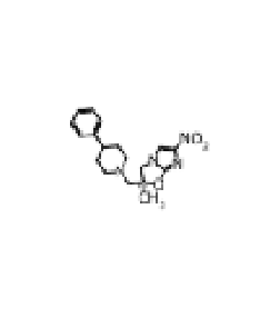 C[C@]1(CN2CCC(c3ccccc3)CC2)Cn2cc([N+](=O)[O-])nc2O1